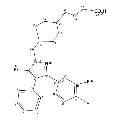 CCc1c(-c2ccccc2)c(-c2ccc(F)c(F)c2)nn1CC1CCC(COCC(=O)O)CC1